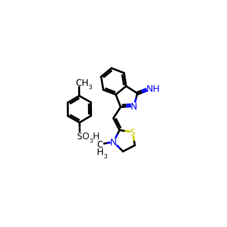 CN1CCSC1=CC1=NC(=N)c2ccccc21.Cc1ccc(S(=O)(=O)O)cc1